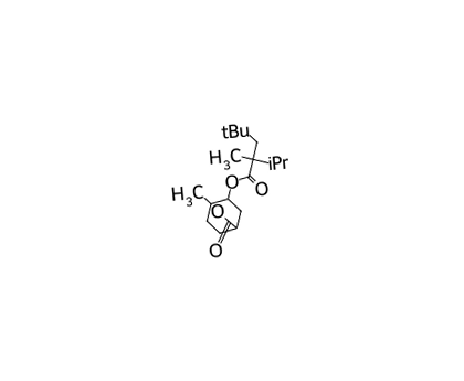 CC(C)C(C)(CC(C)(C)C)C(=O)OC1CC2CCC1(C)OC2=O